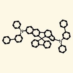 c1ccc(-c2cccc(N(c3ccccc3)c3ccc4cc5c(cc4c3)C3(c4ccccc4-c4ccccc43)c3c-5ccc4cc(N(c5ccccc5)c5cccc(-c6ccccc6)c5)ccc34)c2)cc1